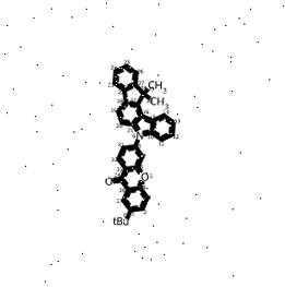 CC(C)(C)c1ccc2oc3cc(-n4c5ccccc5c5c6c(ccc54)-c4ccccc4C6(C)C)ccc3c(=O)c2c1